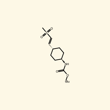 CC(C)(C)OC(=O)N[C@H]1CC[C@H](C=CS(C)(=O)=O)CC1